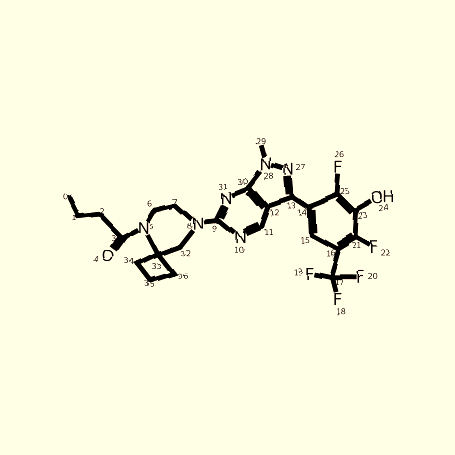 CCCC(=O)N1CCN(c2ncc3c(-c4cc(C(F)(F)F)c(F)c(O)c4F)nn(C)c3n2)CC12CCC2